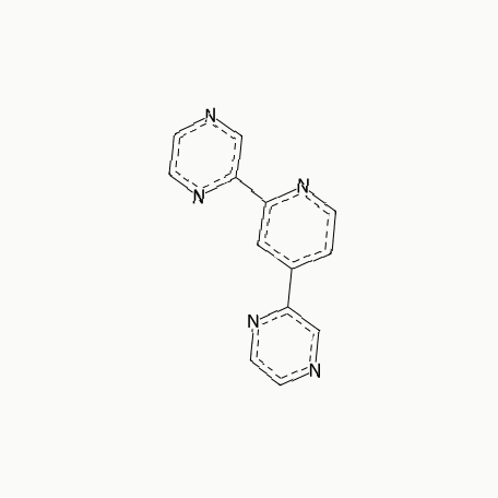 c1cnc(-c2ccnc(-c3cnccn3)c2)cn1